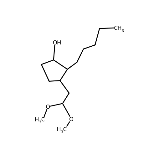 CCCCCC1C(O)CCC1CC(OC)OC